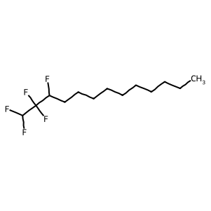 CCCCCCCCCCC(F)C(F)(F)C(F)F